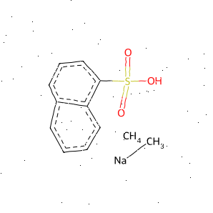 C.O=S(=O)(O)c1cccc2ccccc12.[CH3][Na]